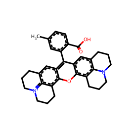 Cc1ccc(C(=O)O)c(C2=c3cc4c5c(c3Oc3c2cc2c6c3CCCN6CCC2)CCC[N+]=5CCC4)c1